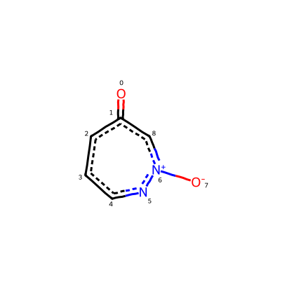 O=c1cccn[n+]([O-])c1